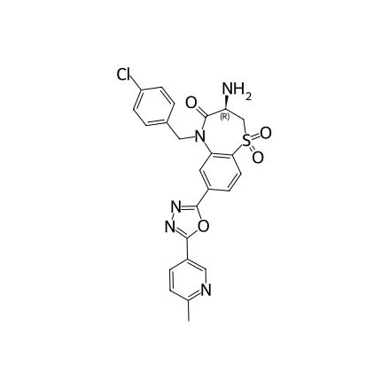 Cc1ccc(-c2nnc(-c3ccc4c(c3)N(Cc3ccc(Cl)cc3)C(=O)[C@@H](N)CS4(=O)=O)o2)cn1